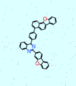 c1ccc2c(-c3ccc(-c4cccc5c4ccc4c6ccccc6oc54)cc3)nc(-c3ccc4c(c3)oc3ccccc34)nc2c1